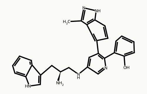 Cc1n[nH]c2ccc(-c3cc(NC[C@@H](N)Cc4c[nH]c5ccccc45)cnc3-c3ccccc3O)cc12